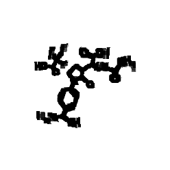 N=C(N)c1ccc(N2CCC(C(CNC(N)=O)C(=O)O)C2=O)cc1.O=C(O)C(F)(F)F